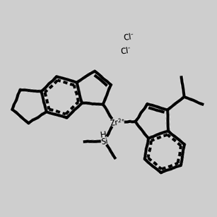 CC(C)C1=C[CH]([Zr+2]([CH]2C=Cc3cc4c(cc32)CCC4)[SiH](C)C)c2ccccc21.[Cl-].[Cl-]